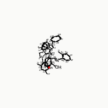 Cc1cc(C)c(N2CCN(c3c(C)cc(C)cc3C)[C]2=[Ru]([Cl])(=[C]2C=C(c3ccccc3)c3ccccc32)[c]2cccc(O)c2C=Nc2ccccc2C)c(C)c1